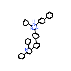 C1=CCC(C2=CCC(C3C=CC=C(C4CC=C(C5=NC(C6=CCC(c7ccccc7)C=C6)NC(C6CC=CCC6)=N5)CC4)C3)C(C3=CCCCC3)=N2)C=C1